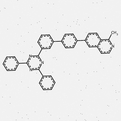 Cc1nccc2cc(-c3ccc(-c4cccc(-c5nc(-c6ccccc6)nc(-c6ccccc6)n5)c4)cc3)ccc12